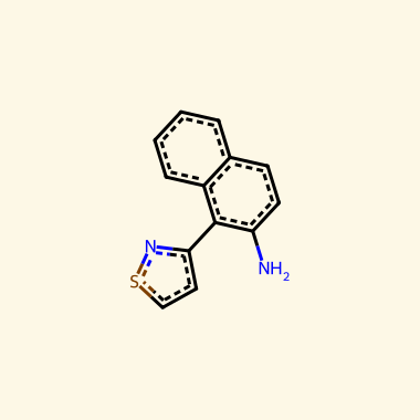 Nc1ccc2ccccc2c1-c1ccsn1